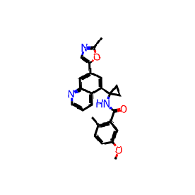 COc1ccc(C)c(C(=O)NC2(c3cc(-c4cnc(C)o4)cc4ncccc34)CC2)c1